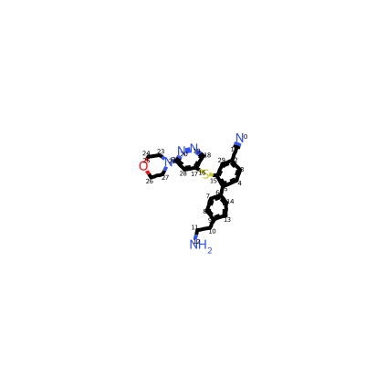 N#Cc1ccc(-c2ccc(CCN)cc2)c(Sc2cnnc(N3CCOCC3)c2)c1